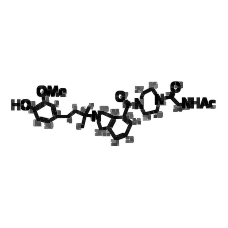 COc1cc(CCC(C)(C)N2Cc3cccc(C(=O)N4CCN(C(=O)CNC(C)=O)CC4)c3C2)ccc1O